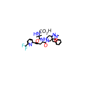 CN1N=C2CCN(C(=O)C(CC#Cc3cccc(C(F)F)n3)NC(=O)C(C)(C)NC(=O)O)CC2(Cc2ccccc2)C1=O